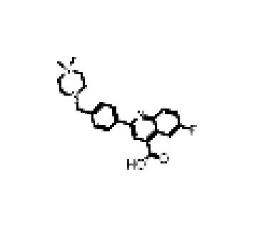 C[Si]1(C)CCN(Cc2ccc(-c3cc(C(=O)O)c4cc(F)ccc4n3)cc2)CC1